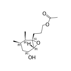 CC(=O)OCCC[C@@]12O[C@@H]1[C@H](O)C[C@@H](C)[C@H]2C